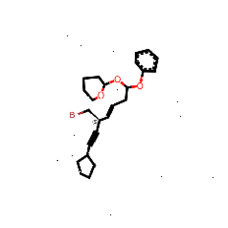 BrC[C@H](C#CC1CCCC1)C=CCC(Oc1ccccc1)OC1CCCCO1